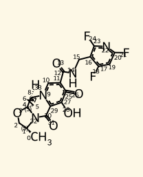 C[C@H]1CO[C@@]23CCC[C@@H]2n2cc(C(=O)NCc4c(F)cc(F)nc4F)c(=O)c(O)c2C(=O)N13